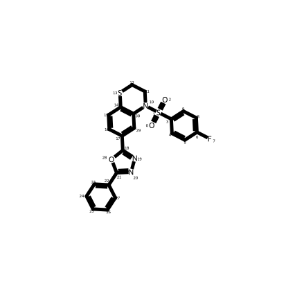 O=S(=O)(c1ccc(F)cc1)N1CCSc2ccc(-c3nnc(-c4ccccc4)o3)cc21